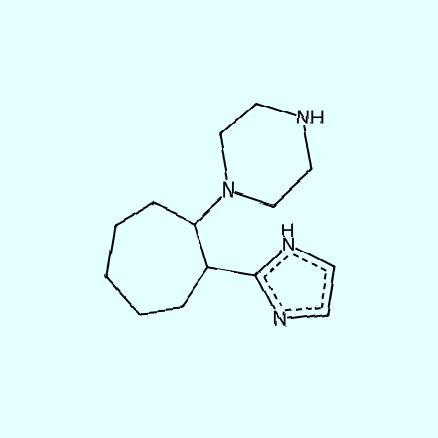 c1c[nH]c(C2CCCCCC2N2CCNCC2)n1